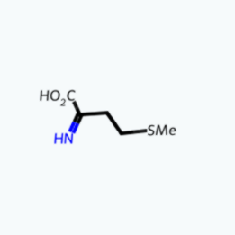 CSCCC(=N)C(=O)O